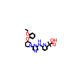 CCOc1ccccc1OC1CCCN(c2cncc(Nc3cccc(C(C)(C)C(=O)O)n3)n2)C1